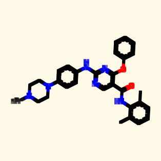 CCCN1CCN(c2ccc(Nc3ncc(C(=O)Nc4c(C)cccc4C)c(Oc4ccccc4)n3)cc2)CC1